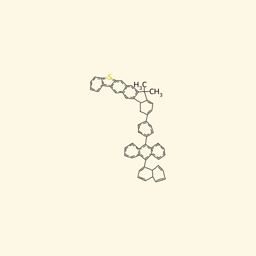 CC1(C)C2=CC=C(c3ccc(-c4c5ccccc5c(C5=CC=CC6C=CC=CC56)c5ccccc45)cc3)CC2c2cc3cc4c(cc3cc21)sc1ccccc14